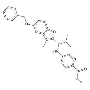 COC(=O)c1ccc(NC(c2oc3ccc(OCc4ccccc4)cc3c2C)C(C)C)cn1